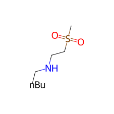 CCCCCNCCS(C)(=O)=O